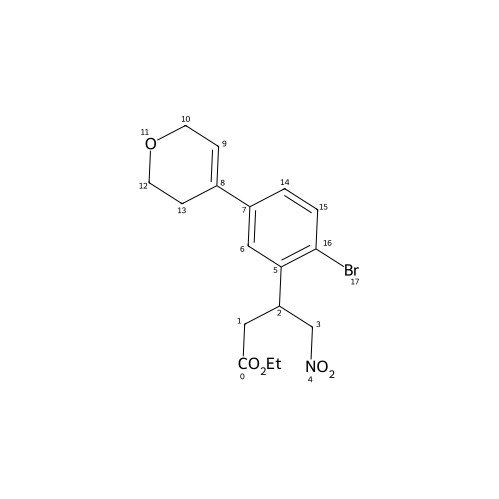 CCOC(=O)CC(C[N+](=O)[O-])c1cc(C2=CCOCC2)ccc1Br